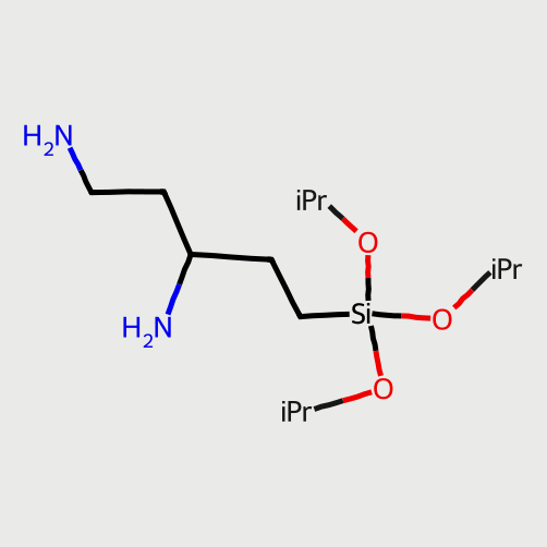 CC(C)O[Si](CCC(N)CCN)(OC(C)C)OC(C)C